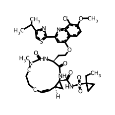 CCC1(S(=O)(=O)NC(=O)[C@@]23C[C@H]2C=CCCCCN(C)C(=O)N[C@@H](CCOc2cc(-c4nc(C(C)C)cs4)nc4c(Cl)c(OC)ccc24)C(=O)N3)CC1